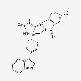 COc1ccc2c(c1)C(=O)N(C[C@@]1(c3ccc(-c4cnc5ccccn45)cc3)NC(=O)NC1=O)C2